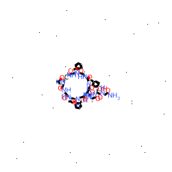 CC(C)C[C@@H]1NC(=O)CNC(=O)[C@H](Cc2ccccc2)N(C)C(=O)[C@H](C)NC(=O)[C@H](Cc2ccccc2)NC(=O)C[C@@H](C(=O)N(C)[C@@H](C)C(=O)N[C@@H](CO)C(=O)NCC(N)=O)NC(=O)[C@H](Cc2ccccc2)NC(=O)[C@H](C(C)C)NC(=O)[C@H](C)NC1=O